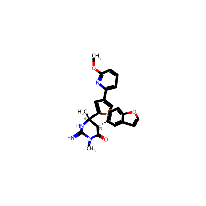 COc1cccc(-c2csc([C@@]3(C)NC(=N)N(C)C(=O)[C@H]3c3ccc4occc4c3)c2)n1